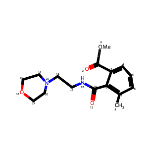 COC(=O)c1cccc(C)c1C(=O)NCCN1CCOCC1